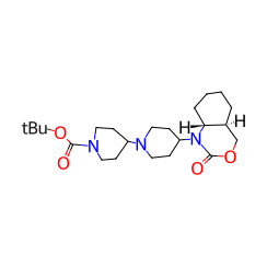 CC(C)(C)OC(=O)N1CCC(N2CCC(N3C(=O)OC[C@@H]4CCCC[C@H]43)CC2)CC1